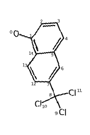 [O]c1cccc2cc(C(Cl)(Cl)Cl)ccc12